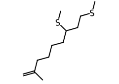 C=C(C)CCCCC(CCSC)SC